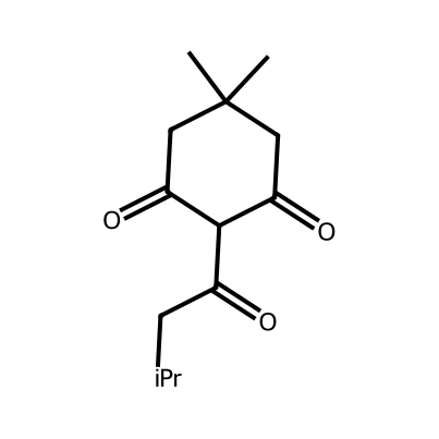 CC(C)CC(=O)C1C(=O)CC(C)(C)CC1=O